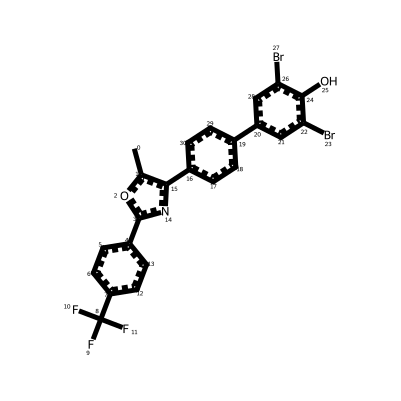 Cc1oc(-c2ccc(C(F)(F)F)cc2)nc1-c1ccc(-c2cc(Br)c(O)c(Br)c2)cc1